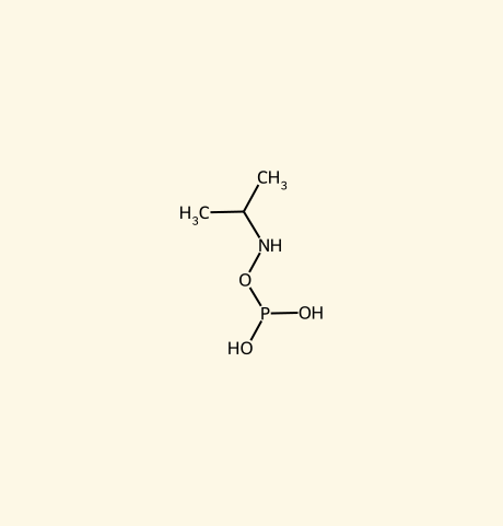 CC(C)NOP(O)O